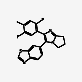 Cc1cc(F)c(-c2nc3n(c2-c2ccc4ncsc4c2)CCC3)cc1F